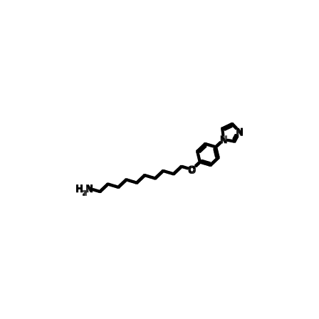 NCCCCCCCCCCOc1ccc(-n2ccnc2)cc1